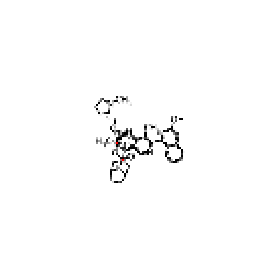 Cc1c(-c2cc(O)cc3ccccc23)ncc2c(N3CC4CCC(C3)N4C(=O)OC(C)(C)C)nc(OC[C@@H]3CCCN3C)nc12